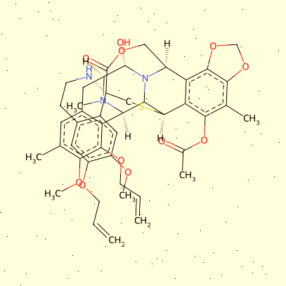 C=CCOc1cc2c(cc1OC)[C@@]1(CS[C@@H]3c4c(OC(C)=O)c(C)c5c(c4[C@H](COC1=O)N1C3[C@H]3c4c(cc(C)c(OC)c4OCC=C)C[C@@H]([C@@H]1O)N3C)OCO5)NCC2